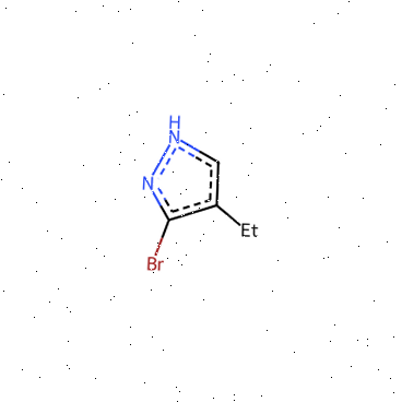 CCc1c[nH]nc1Br